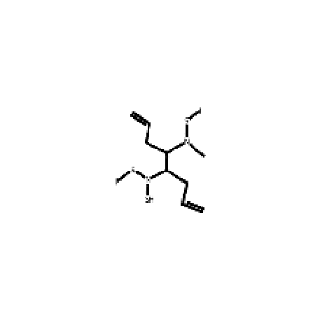 C=CCC(C(CC=C)N(S)SI)N(C)SI